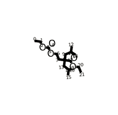 CCOC(=O)OCCC(CC(C)C)(CC(C)C)C(=O)OCC